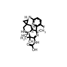 CC1(C)C(NC(=O)O)=N[C@](C)(c2nc(N)ccc2F)[C@H]2CC3(CC3)CNS21O